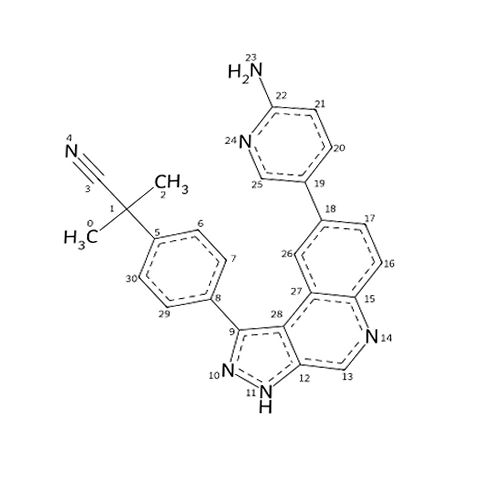 CC(C)(C#N)c1ccc(-c2n[nH]c3cnc4ccc(-c5ccc(N)nc5)cc4c23)cc1